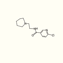 O=C(NCCN1CCCCC1)c1ccc(Cl)nc1